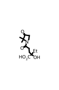 CCC(O)(CCC(=O)N1CCC(=O)C1(C)C)C(=O)O